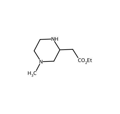 CCOC(=O)CC1CN(C)CCN1